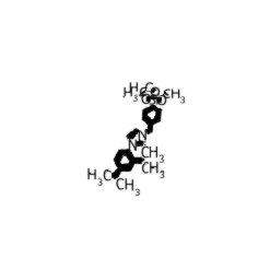 CO[Si](OC)(OC)c1ccc(CN2[C]N(c3ccc(C(C)C)cc3C(C)C)C=C2)cc1